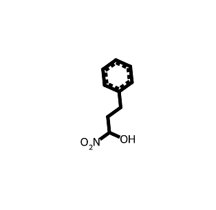 O=[N+]([O-])C(O)CCc1ccccc1